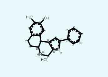 Cl.Oc1cc2c(cc1O)C1c3cc(-c4ccccc4)oc3CNC1CC2